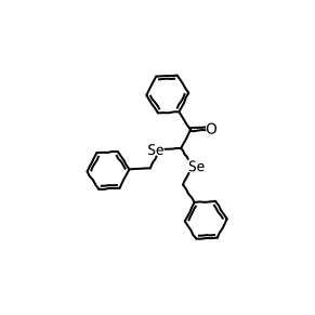 O=C(c1ccccc1)C([Se]Cc1ccccc1)[Se]Cc1ccccc1